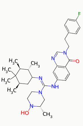 C[C@@H]1C(N=C(Nc2ccc3c(=O)n(CCc4ccc(F)cc4)cnc3c2)N2CCN(O)[C@@H](C)C2)C[C@@H](C)C(C)(C)[C@H]1C